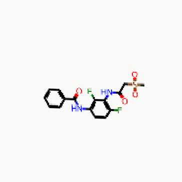 CS(=O)(=O)CC(=O)Nc1c(F)ccc(NC(=O)c2ccccc2)c1F